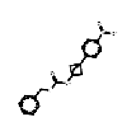 O=C(NC12CC(c3ccc([N+](=O)[O-])cc3)(C1)C2)OCc1ccccc1